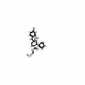 CCOC(=O)[C@@H]1CC[C@](O)(Cc2ccc(F)cc2)C[C@H]1c1ccccc1